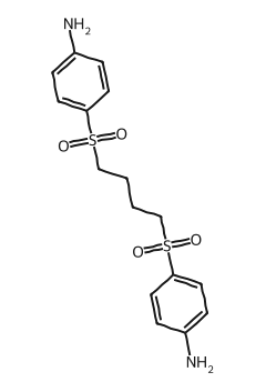 Nc1ccc(S(=O)(=O)CCCCS(=O)(=O)c2ccc(N)cc2)cc1